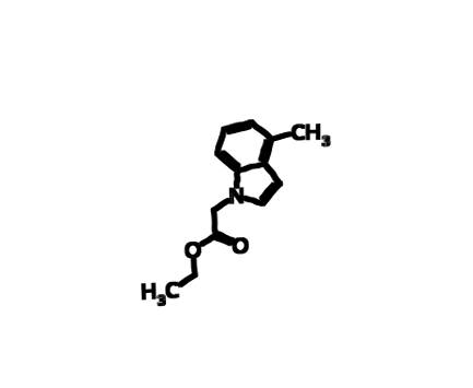 CCOC(=O)Cn1ccc2c(C)cccc21